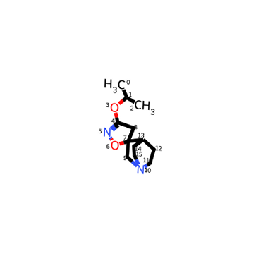 CC(C)OC1=NOC2(C1)CN1CCC2CC1